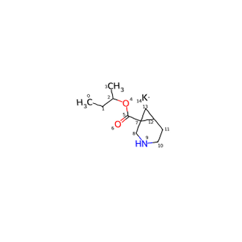 CCC(C)OC(=O)C12CNCCC1C2.[K]